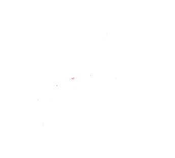 Cc1ccc(-c2c(C)cc(C)c(C(=O)O)c2C)c(-c2c(C)cc(C)c(C(=O)O)c2C)c1